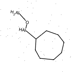 [AlH2][O][AlH][CH]1CCCCCCC1